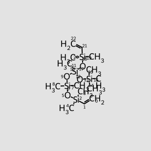 C=C[Si](C)(C)O[Si](C)(C)O[Si](C)(O[Si](C)(C)C)O[Si](C)(C)C=C